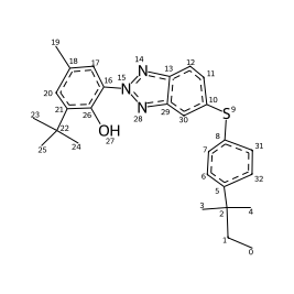 CCC(C)(C)c1ccc(Sc2ccc3nn(-c4cc(C)cc(C(C)(C)C)c4O)nc3c2)cc1